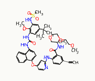 C#Cc1ccc(Nc2cc(Oc3ccc(NC(=O)Nc4cc(C(C)(C)C)cc(NS(C)(=O)=O)c4OC)c4ccccc34)ccn2)c(C(=O)N[C@@H](C)COCCOCCOC)c1